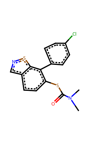 CN(C)C(=O)Sc1ccc2cnsc2c1-c1ccc(Cl)cc1